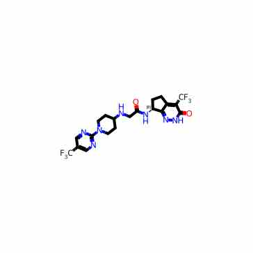 O=C(CNC1CCN(c2ncc(C(F)(F)F)cn2)CC1)N[C@@H]1CCc2c1n[nH]c(=O)c2C(F)(F)F